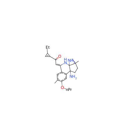 CCCOc1cc2c(cc1C)/C(=C/C(=O)C1=CC1CC)NC1(N)C(C)(C)CCC21N